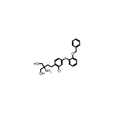 NC(CO)(CO)CCc1ccc(Sc2ccccc2OCc2ccccc2)cc1Cl